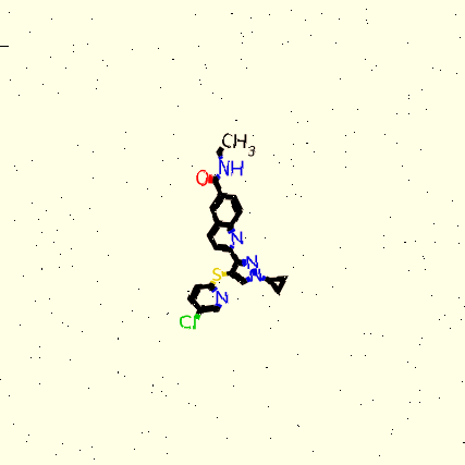 CCNC(=O)c1ccc2nc(-c3nn(C4CC4)cc3Sc3ccc(Cl)cn3)ccc2c1